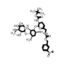 CN[C@@H]1[C@@H](O)[C@@H](O[C@@H]2[C@@H](O)[C@H](O[C@H]3OC(CNC(=O)OCc4cccc([N+](=O)[O-])c4)=CC[C@H]3NC(=O)OC(C)(C)C)[C@@H](N)C[C@H]2N)OC[C@]1(C)O